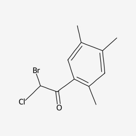 Cc1cc(C)c(C(=O)C(Cl)Br)cc1C